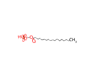 CCCCCCCCCCCCCCCCCC(=O)OCCOS(=O)(=O)O